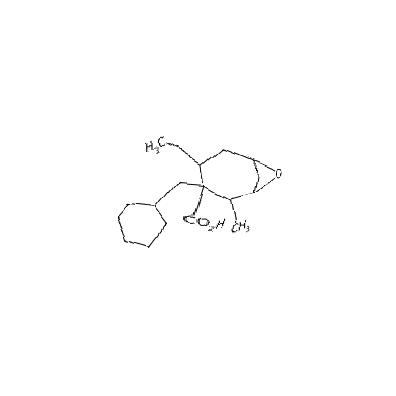 CC1CC2OC2C(C)C1(CC1CCCCC1)C(=O)O